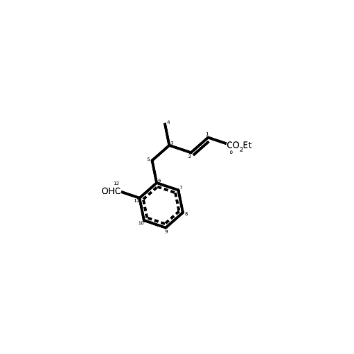 CCOC(=O)/C=C/C(C)Cc1ccccc1C=O